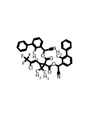 Cc1c(-c2ccccc2)cccc1C(C#N)OC(=O)C1(C(=O)OC(C#N)c2cccc(-c3ccccc3)c2C)C(C=C(Cl)C(F)(F)F)C1(C)C